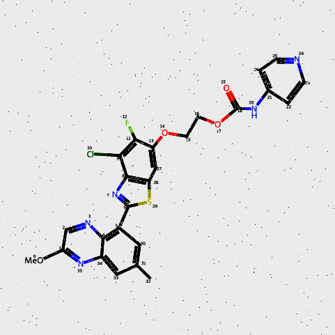 COc1cnc2c(-c3nc4c(Cl)c(F)c(OCCOC(=O)Nc5ccncc5)cc4s3)cc(C)cc2n1